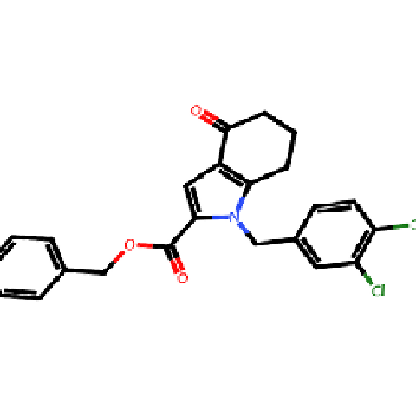 O=C1CCCc2c1cc(C(=O)OCc1ccccc1)n2Cc1ccc(Cl)c(Cl)c1